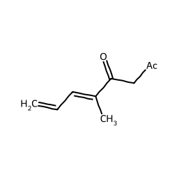 C=C/C=C(\C)C(=O)CC(C)=O